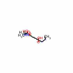 CC/C=C\C/C=C\CC(=O)C(O)CCCCCCCC(=O)N[C@@H](C(=O)O)[C@H](C)CC